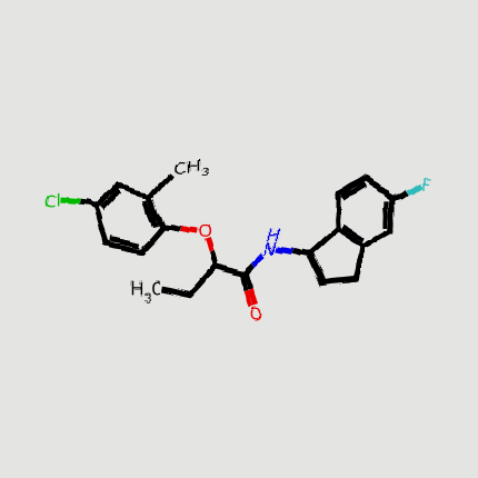 CCC(Oc1ccc(Cl)cc1C)C(=O)NC1CCc2cc(F)ccc21